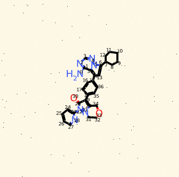 Nc1ncnn2c(C3CCCCC3)cc(-c3ccc(-c4c5n(n(-c6ccccn6)c4=O)CCOC5)cc3)c12